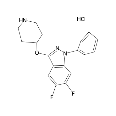 Cl.Fc1cc2c(OC3CCNCC3)nn(-c3ccccc3)c2cc1F